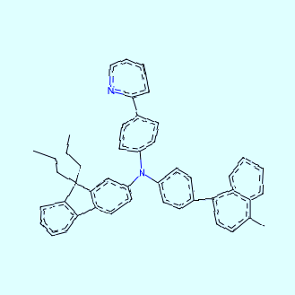 CCCC1(CCC)c2ccccc2-c2ccc(N(c3ccc(-c4ccccn4)cc3)c3ccc(-c4ccc(C)c5ccccc45)cc3)cc21